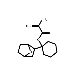 C=C(C)C(=O)OC1(C2CC3CCC2O3)CCCCC1